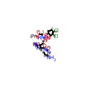 CC(C)OC(=O)[C@H](C)NP(=O)(OC[C@H]1OC(n2ccc(N)nc2=O)[C@](C)(N=[N+]=[N-])[C@@H]1O)Oc1ccc(Cl)c(Cl)c1